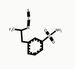 NS(=O)(=O)c1cccc(CC(N=C=S)C(F)(F)F)c1